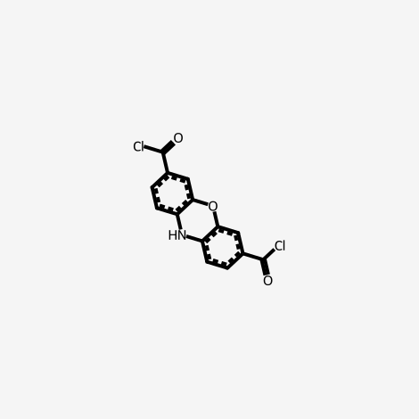 O=C(Cl)c1ccc2c(c1)Oc1cc(C(=O)Cl)ccc1N2